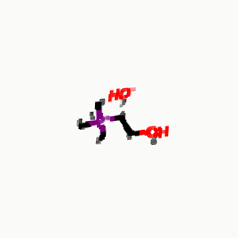 C[P+](C)(C)CCO.[OH-]